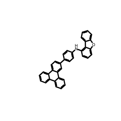 c1ccc2c(c1)oc1cccc(Nc3ccc(-c4ccc5c6ccccc6c6ccccc6c5c4)cc3)c12